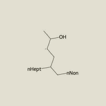 CCCCCCCCCCC(C[CH]C(C)O)CCCCCCC